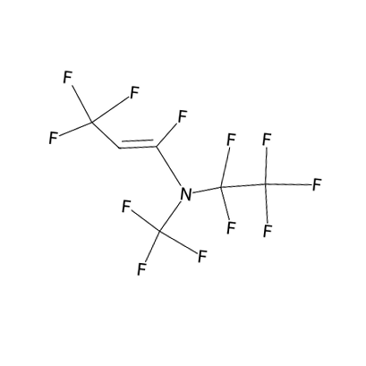 FC(=CC(F)(F)F)N(C(F)(F)F)C(F)(F)C(F)(F)F